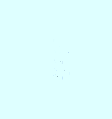 CN(C(=O)c1cc(Cl)cnc1OC(F)F)C1COc2cc(F)ccc21